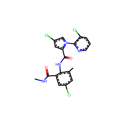 CNC(=O)c1cc(Cl)cc(C)c1NC(=O)c1cc(Cl)cn1-c1ncccc1Cl